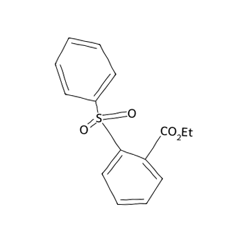 CCOC(=O)c1ccccc1S(=O)(=O)c1ccccc1